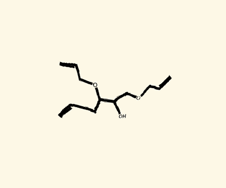 C=CCOCC(O)C(CC=C)OCC=C